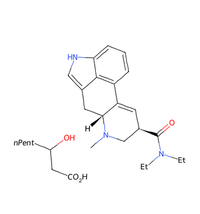 CCCCCC(O)CC(=O)O.CCN(CC)C(=O)[C@@H]1C=C2c3cccc4[nH]cc(c34)C[C@H]2N(C)C1